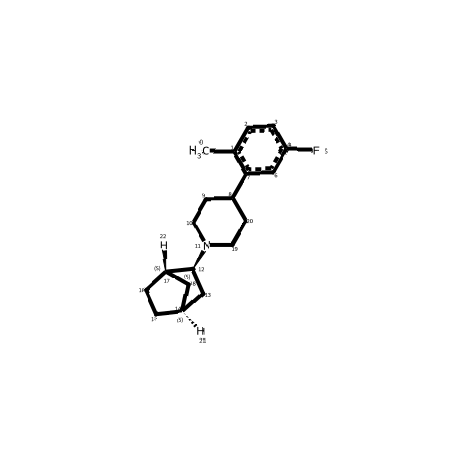 Cc1ccc(F)cc1C1CCN([C@H]2C[C@H]3CC[C@H]2C3)CC1